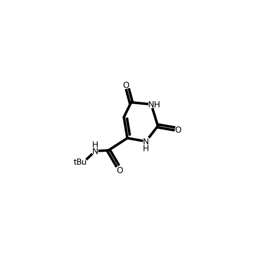 CC(C)(C)NC(=O)c1cc(=O)[nH]c(=O)[nH]1